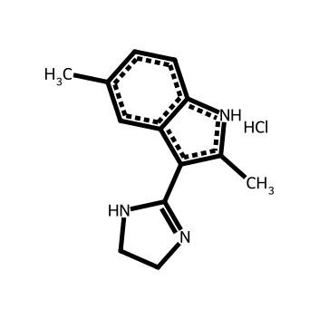 Cc1ccc2[nH]c(C)c(C3=NCCN3)c2c1.Cl